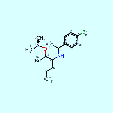 C[SiH](C)OC(C(CCC(F)(F)F)NC(c1ccc(Br)cc1)C(F)(F)F)C(C)(C)C